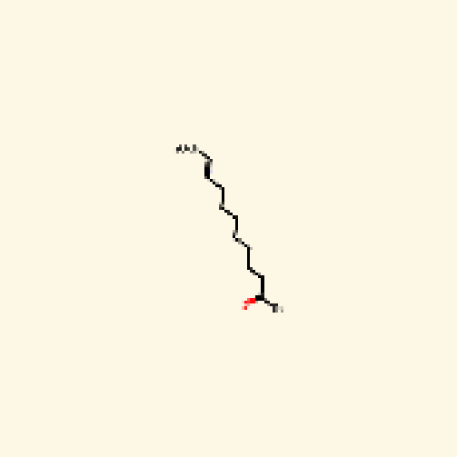 CCCCCCCC/C=C/CCCCCCCC(=O)CC